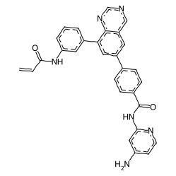 C=CC(=O)Nc1cccc(-c2cc(-c3ccc(C(=O)Nc4cc(N)ccn4)cc3)cc3cncnc23)c1